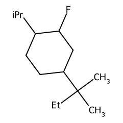 CCC(C)(C)C1CCC(C(C)C)C(F)C1